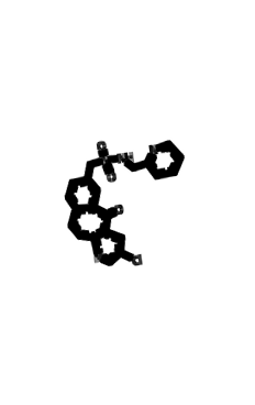 O=c1c2cc(CS(=O)(=O)NCc3ccccn3)ccc2ccc2ncc(Cl)cc12